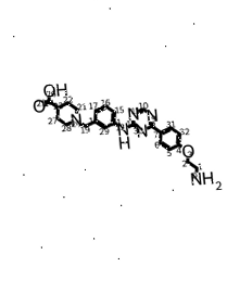 NCCOc1ccc(-c2ncnc(Nc3cccc(CN4CCC(C(=O)O)CC4)c3)n2)cc1